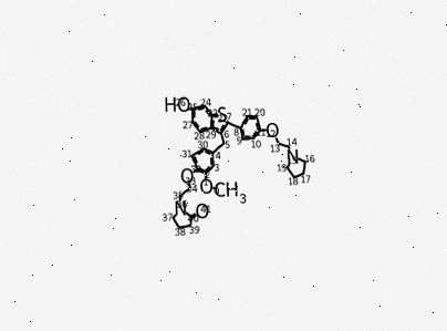 COc1cc(Cc2c(-c3ccc(OCCN4CCCC4)cc3)sc3cc(O)ccc23)ccc1OCCN1CCCC1=O